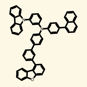 c1cc(-c2ccc(N(c3ccc(-c4cccc5ccccc45)cc3)c3cccc(-n4c5ccccc5c5ccccc54)c3)cc2)cc(-c2cccc3oc4ccccc4c23)c1